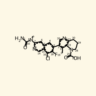 Cc1c(-c2cc3cc(N(C)C(N)=O)ncc3c(Cl)c2F)cnc2c1N(C(=O)O)CCC2